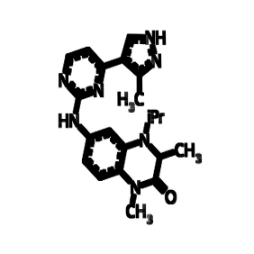 Cc1n[nH]cc1-c1ccnc(Nc2ccc3c(c2)N(C(C)C)C(C)C(=O)N3C)n1